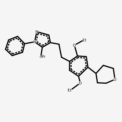 CCCc1c(CCc2cc(OCC)c(C3CCOCC3)cc2OCC)cnn1-c1ccccc1